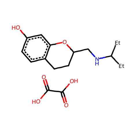 CCC(CC)NCC1CCc2ccc(O)cc2O1.O=C(O)C(=O)O